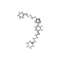 c1ccc(OCCSCc2nnc(-c3ccc(OCCCCN4CCCCC4)cc3)o2)cc1